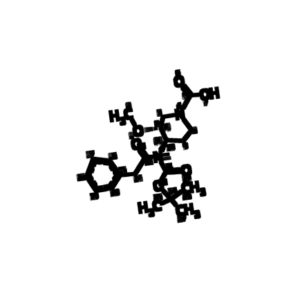 CO[C@@H]1CN(C(=O)O)CC[C@H]1N(C(=O)Cc1ccccc1)C(=O)OC(C)(C)C